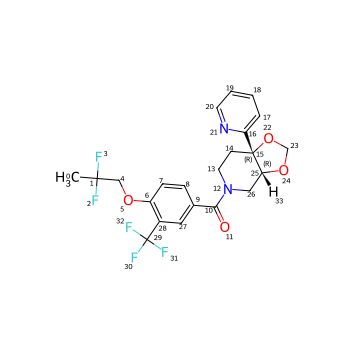 CC(F)(F)COc1ccc(C(=O)N2CC[C@]3(c4ccccn4)OCO[C@@H]3C2)cc1C(F)(F)F